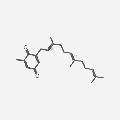 CC(C)=CCC/C(C)=C/CC/C(C)=C/CC1=CC(=O)C=C(C)C1=O